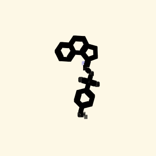 Cc1ccc(S(=O)(=O)O/N=C2\CCc3ccc4ccccc4c32)cc1